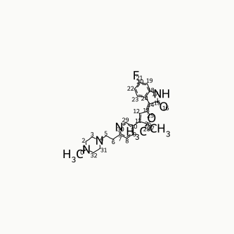 CN1CCN(CCc2ccc(C3=CC(=C4C(=O)Nc5cc(F)ccc54)OC3(C)C)cn2)CC1